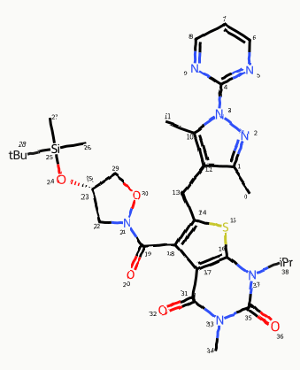 Cc1nn(-c2ncccn2)c(C)c1Cc1sc2c(c1C(=O)N1C[C@H](O[Si](C)(C)C(C)(C)C)CO1)c(=O)n(C)c(=O)n2C(C)C